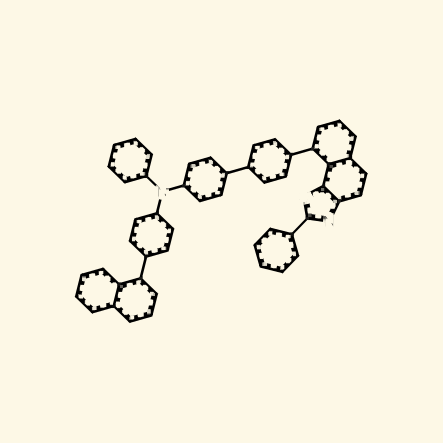 c1ccc(-c2nc3ccc4cccc(-c5ccc(-c6ccc(N(c7ccccc7)c7ccc(-c8cccc9ccccc89)cc7)cc6)cc5)c4c3o2)cc1